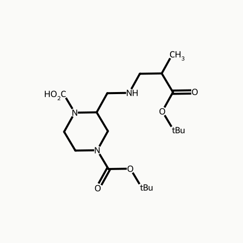 CC(CNCC1CN(C(=O)OC(C)(C)C)CCN1C(=O)O)C(=O)OC(C)(C)C